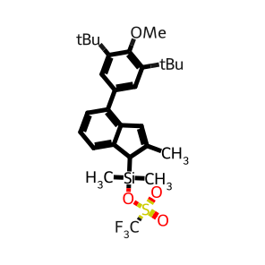 COc1c(C(C)(C)C)cc(-c2cccc3c2C=C(C)C3[Si](C)(C)OS(=O)(=O)C(F)(F)F)cc1C(C)(C)C